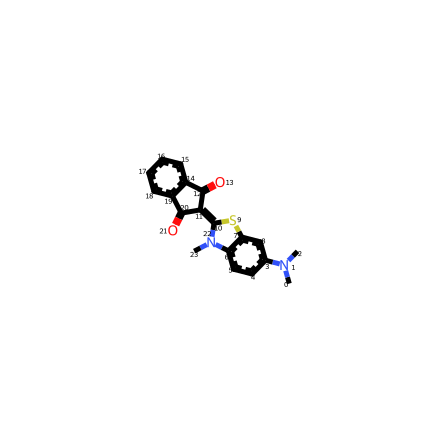 CN(C)c1ccc2c(c1)SC(=C1C(=O)c3ccccc3C1=O)N2C